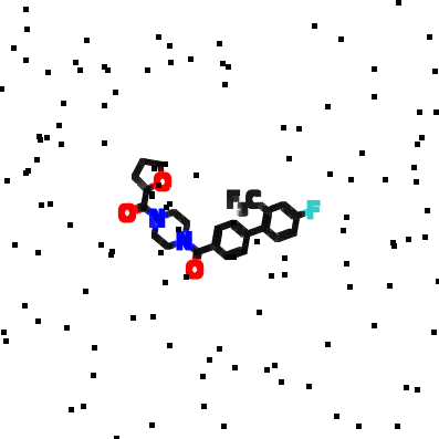 O=C(c1ccc(-c2ccc(F)cc2C(F)(F)F)cc1)N1CCN(C(=O)C2CCCO2)CC1